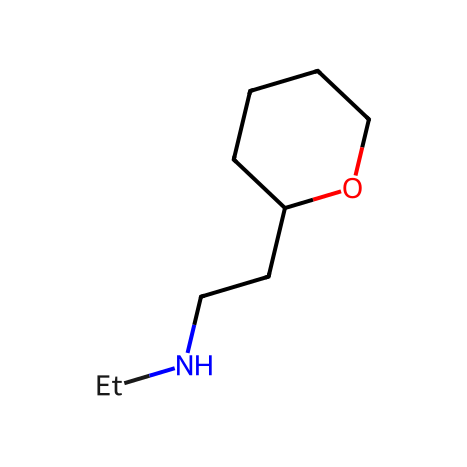 CCNCCC1CCCCO1